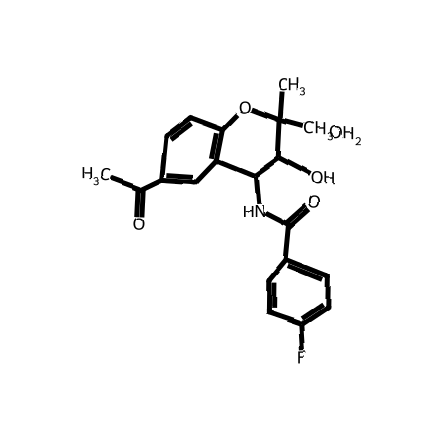 CC(=O)c1ccc2c(c1)C(NC(=O)c1ccc(F)cc1)C(O)C(C)(C)O2.O